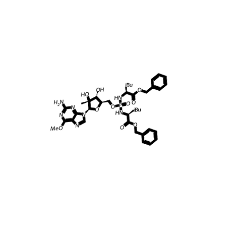 CCC(C)[C@H](NP(=O)(N[C@H](C(=O)OCc1ccccc1)C(C)CC)OC[C@H]1O[C@@H](n2cnc3c(OC)nc(N)nc32)[C@](C)(O)[C@@H]1O)C(=O)OCc1ccccc1